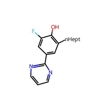 CCCCCCCc1cc(-c2ncccn2)cc(F)c1O